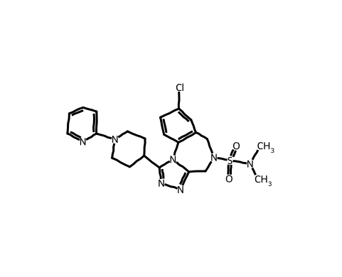 CN(C)S(=O)(=O)N1Cc2cc(Cl)ccc2-n2c(nnc2C2CCN(c3ccccn3)CC2)C1